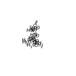 CC(C)(C)OC(=O)CC[C@H](NC(=O)OC(C)(C)C)C(=O)NCCCn1c(=O)c2cc(F)ccc2n2c(=S)[nH]nc12